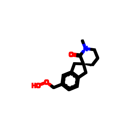 CN1CCC[C@@]2(Cc3ccc(COO)cc3C2)C1=O